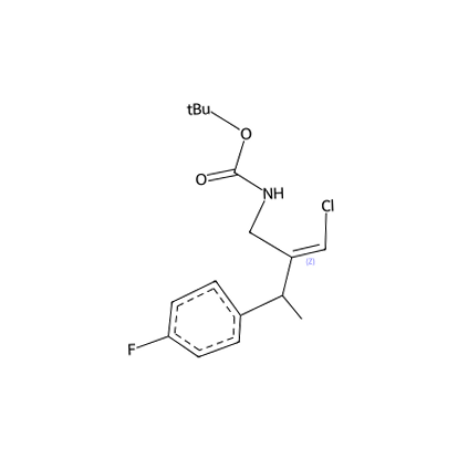 CC(/C(=C/Cl)CNC(=O)OC(C)(C)C)c1ccc(F)cc1